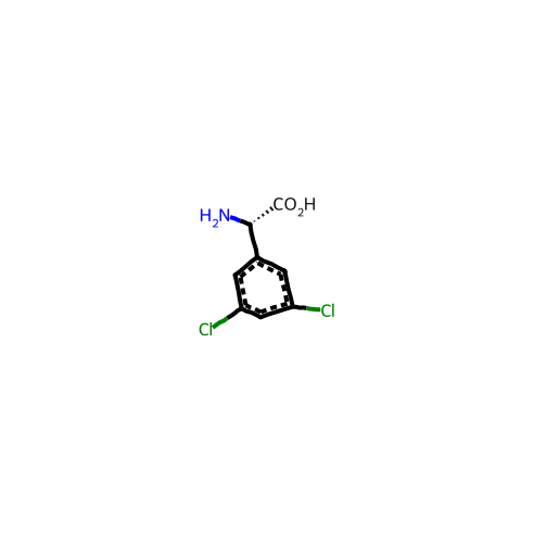 N[C@H](C(=O)O)c1cc(Cl)cc(Cl)c1